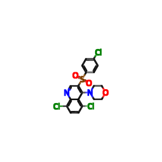 O=S(=O)(c1ccc(Cl)cc1)c1cnc2c(Cl)ccc(Cl)c2c1N1CCOCC1